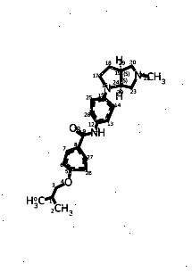 CC(C)COc1ccc(C(=O)Nc2ccc(N3CC[C@H]4CN(C)C[C@H]43)cc2)cc1